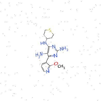 COc1ncccc1-c1nc(N)nc(NC2CCSCC2)c1N